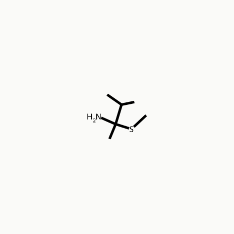 CSC(C)(N)C(C)C